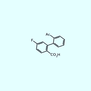 CC(=O)c1ccccc1-c1cc(F)ccc1C(=O)O